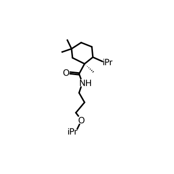 CC(C)OCCCNC(=O)[C@@]1(C)CC(C)(C)CCC1C(C)C